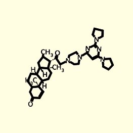 CC1C[C@H]2[C@@H]3CCC4CC(=O)C=C[C@]4(C)[C@H]3CC[C@]2(C)[C@H]1C(=O)CN1CCN(c2cc(N3CCCC3)nc(N3CCCC3)n2)CC1